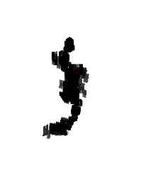 COCCOCCOC1CCN(C(=O)[C@@H]2C[C@@H](C3(C)CC3)[C@H]3C2CC[C@]2(C)[C@@H]3CC[C@@H]3[C@@]4(C)CC[C@H](OC(=O)[C@H]5C[C@@H](Cc6ccccc6)C5(C)C)C(C)(C)[C@@H]4CC[C@]32C)CC1